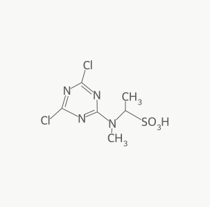 CC(N(C)c1nc(Cl)nc(Cl)n1)S(=O)(=O)O